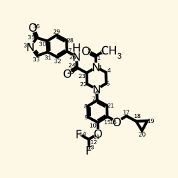 CC(=O)N1CCN(c2ccc(OC(F)F)c(OCC3CC3)c2)CC1C(=O)Nc1ccc2c(c1)C=NC2=O